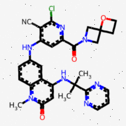 Cn1c(=O)cc(NC(C)(C)c2ncccn2)c2cc(Nc3cc(C(=O)N4CC5(CCO5)C4)nc(Cl)c3C#N)ccc21